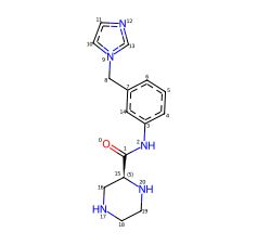 O=C(Nc1cccc(Cn2ccnc2)c1)[C@@H]1CNCCN1